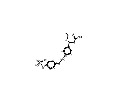 CCOC(CC(=O)O)c1ccc(OCCc2ccc(OS(C)(=O)=O)cc2)cc1